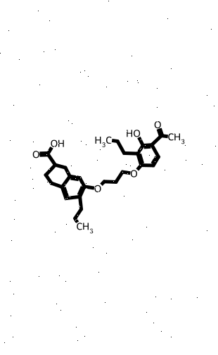 CCCc1cc2c(cc1OCCCOc1ccc(C(C)=O)c(O)c1CCC)CC(C(=O)O)CC2